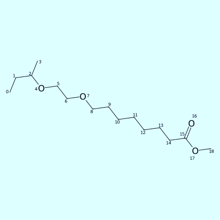 CCC(C)OCCOCCCCCCCC(=O)OC